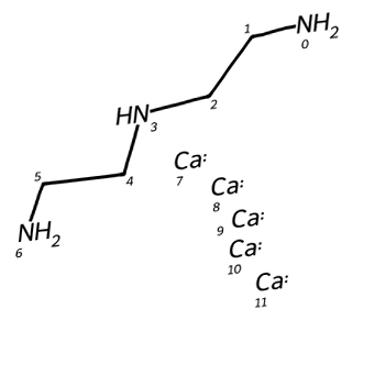 NCCNCCN.[Ca].[Ca].[Ca].[Ca].[Ca]